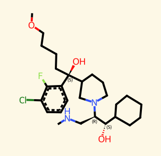 CNC[C@H]([C@@H](O)C1CCCCC1)N1CCCC([C@@](O)(CCCCOC)c2cccc(Cl)c2F)C1